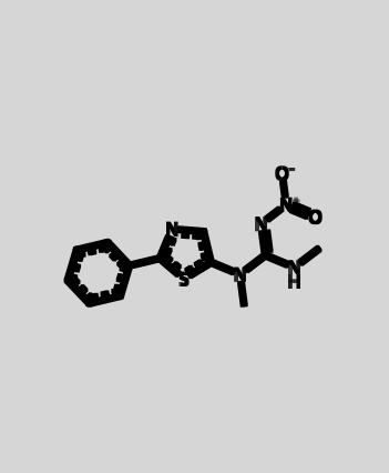 CNC(=N[N+](=O)[O-])N(C)c1cnc(-c2ccccc2)s1